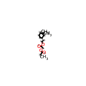 CCC(=O)OCC(=O)OCC[C@@H]1CCCC(C)(C)C1